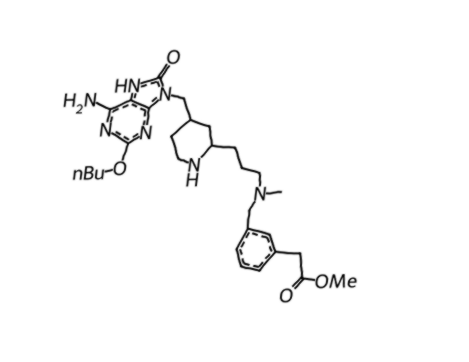 CCCCOc1nc(N)c2[nH]c(=O)n(CC3CCNC(CCCN(C)Cc4cccc(CC(=O)OC)c4)C3)c2n1